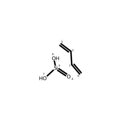 C=CC=C.O=[Si](O)O